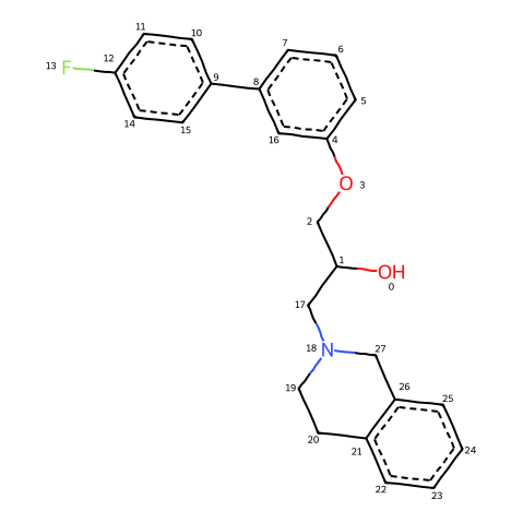 OC(COc1cccc(-c2ccc(F)cc2)c1)CN1CCc2ccccc2C1